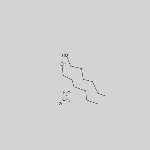 CCCCCCO.CCCCCCO.O.O.[Zr]